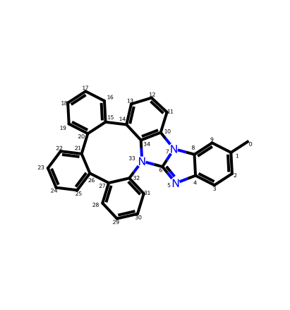 Cc1ccc2nc3n(c2c1)c1cccc2c4ccccc4c4ccccc4c4ccccc4n3c21